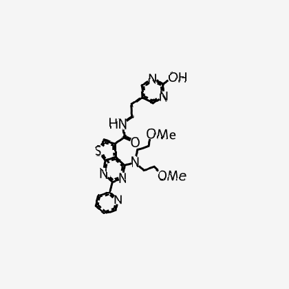 COCCN(CCOC)c1nc(-c2ccccn2)nc2scc(C(=O)NCCc3cnc(O)nc3)c12